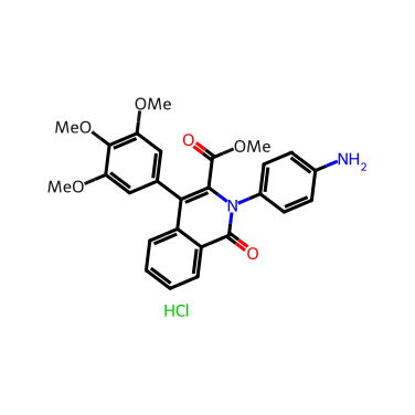 COC(=O)c1c(-c2cc(OC)c(OC)c(OC)c2)c2ccccc2c(=O)n1-c1ccc(N)cc1.Cl